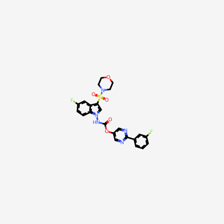 O=C(Nn1cc(S(=O)(=O)N2CCOCC2)c2cc(F)ccc21)Oc1cnc(-c2cccc(F)c2)nc1